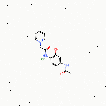 CC(=O)Nc1ccc(NC(=O)C[n+]2ccccc2)c(O)c1.[Cl-]